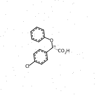 O=C(O)[C@@H](Oc1ccccc1)c1ccc(Cl)cc1